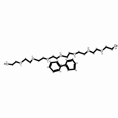 OCCOCCOCCOCCOCCOCCOCCOCCO.c1ccc(-c2ccccc2)cc1